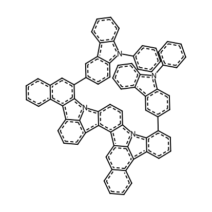 c1ccc(-n2c3ccccc3c3cc(-c4cc5ccccc5c5c6cccc7c8c9c%10cc%11ccccc%11c%11c%12cccc(-c%13ccc%14c(c%13)c%13ccccc%13n%14-c%13ccccc%13)c%12n(c9ccc8n(c45)c76)c%10%11)ccc32)cc1